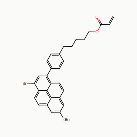 C=CC(=O)OCCCCCc1ccc(-c2cc(Br)c3ccc4cc(C(C)(C)C)cc5ccc2c3c45)cc1